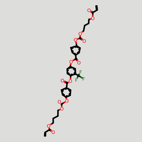 C=CC(=O)OCCCCOC(=O)Oc1ccc(C(=O)Oc2ccc(OC(=O)c3ccc(OC(=O)OCCCCOC(=O)C=C)cc3)c(C(F)(F)F)c2)cc1